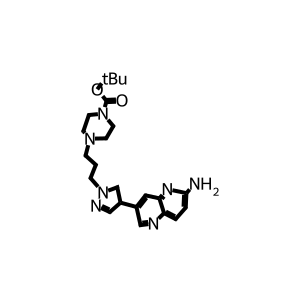 CC(C)(C)OC(=O)N1CCN(CCCN2CC(c3cnc4ccc(N)nc4c3)C=N2)CC1